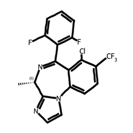 C[C@@H]1N=C(c2c(F)cccc2F)c2c(ccc(C(F)(F)F)c2Cl)-n2ccnc21